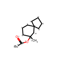 CCC(C)C(=O)OC1(C)CCCC2(CCCC2)C1